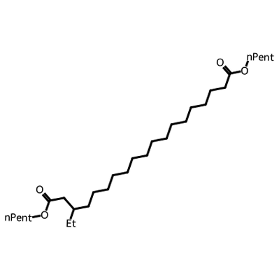 CCCCCOC(=O)CCCCCCCCCCCCCCCC(CC)CC(=O)OCCCCC